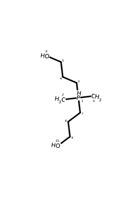 C[PH](C)(CCCO)CCCO